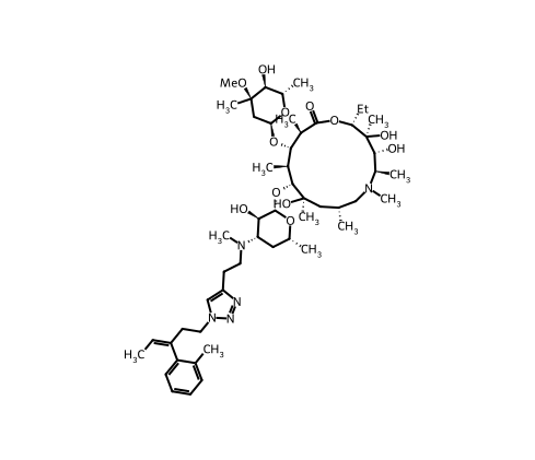 C/C=C(/CCn1cc(CCN(C)[C@H]2C[C@@H](C)O[C@@H](O[C@@H]3[C@@H](C)[C@H](O[C@H]4C[C@@](C)(OC)[C@@H](O)[C@H](C)O4)[C@@H](C)C(=O)O[C@H](CC)[C@@](C)(O)[C@H](O)[C@@H](C)N(C)C[C@H](C)C[C@@]3(C)O)[C@@H]2O)nn1)c1ccccc1C